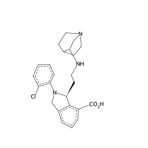 O=C(O)c1cccc2c1[C@H](CCNC1CN3CCC1CC3)N(c1ccccc1Cl)C2